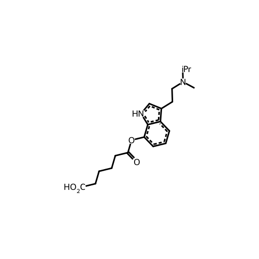 CC(C)N(C)CCc1c[nH]c2c(OC(=O)CCCCC(=O)O)cccc12